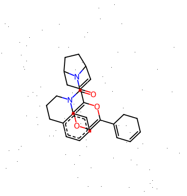 O=C(N1CCCc2ccccc21)N1C2C=C(C3=COC=C(C4=CC=CCC4)O3)CC1CC2